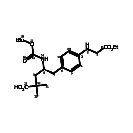 CCOC(=O)CNc1ccc(C[C@@H](CC(C)(C)C(=O)O)NC(=O)OC(C)(C)C)cc1